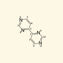 [c]1cc(-c2ccncn2)ncn1